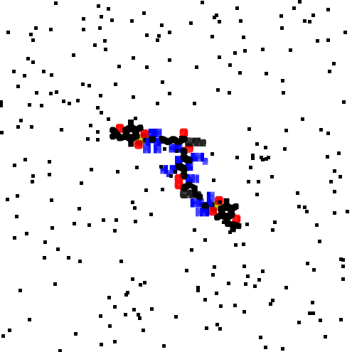 COC(=O)C(CCCNC(=N)NS(=O)(=O)c1c(C)c(C)c2c(c1C)CC(C)(C)O2)NC(=O)c1nc(N)c(C(=O)N[C@@H](CCCNC(=N)NS(=O)(=O)c2c(C)c(C)c3c(c2C)CC(C)(C)O3)C(=O)OC)nc1N